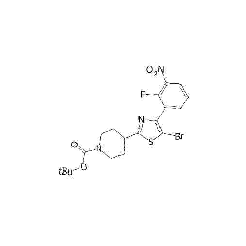 CC(C)(C)OC(=O)N1CCC(c2nc(-c3cccc([N+](=O)[O-])c3F)c(Br)s2)CC1